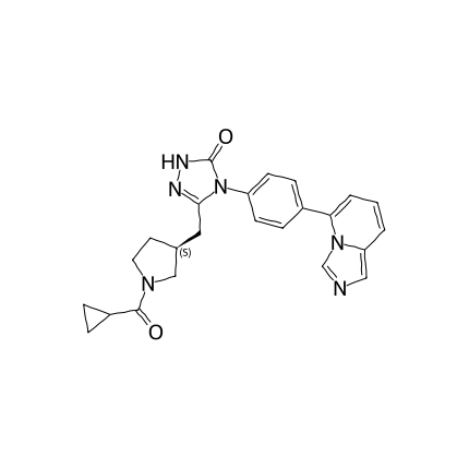 O=C(C1CC1)N1CC[C@@H](Cc2n[nH]c(=O)n2-c2ccc(-c3cccc4cncn34)cc2)C1